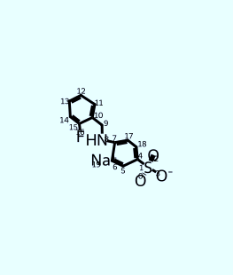 O=S(=O)([O-])c1ccc(NCc2ccccc2F)cc1.[Na+]